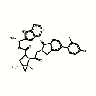 C[C@@H](NC(=O)[C@@H]1C[C@]2(C)C[C@@H]2N1C(=O)CN1Cc2cc(-c3ccc(F)cc3F)ccc2C1=O)c1cc2cnccc2[nH]1